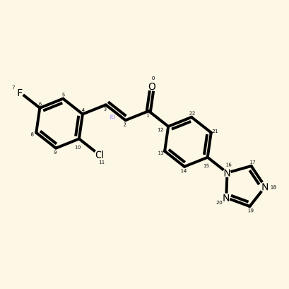 O=C(/C=C/c1cc(F)ccc1Cl)c1ccc(-n2cncn2)cc1